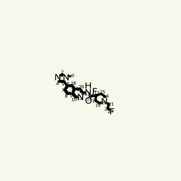 Cn1cncc1-c1ccc2cnc(NC(=O)C3(F)CCN(CCF)CC3)cc2c1